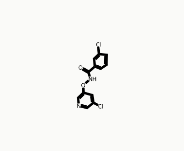 O=C(NOc1cncc(Cl)c1)c1cccc(Cl)c1